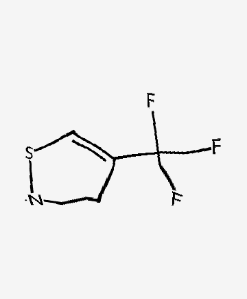 FC(F)(F)C1=CS[N]C1